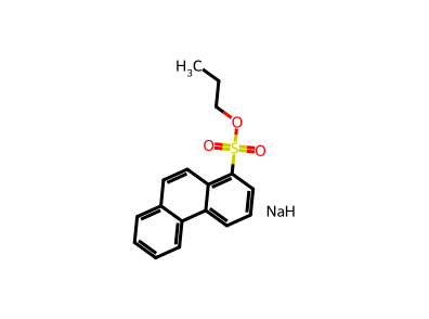 CCCOS(=O)(=O)c1cccc2c1ccc1ccccc12.[NaH]